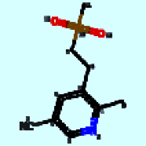 Cc1ncc(C#N)cc1CCS(C)(=O)=O